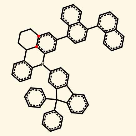 c1ccc(C2(c3ccccc3)c3ccccc3-c3ccc(N(c4cccc(-c5ccc(-c6cccc7ccccc67)c6ccccc56)c4)c4ccccc4C4CCCCC4)cc32)cc1